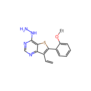 C=Cc1c(-c2ccccc2OCC)sc2c(NN)ncnc12